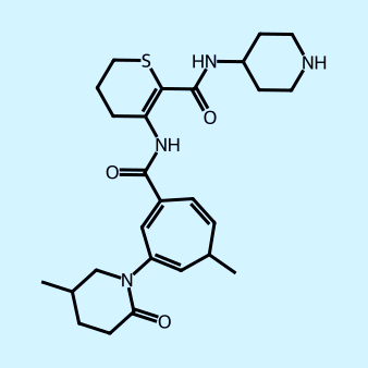 CC1C=CC(C(=O)NC2=C(C(=O)NC3CCNCC3)SCCC2)=CC(N2CC(C)CCC2=O)=C1